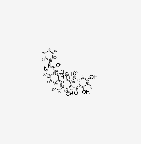 Cc1c(O)cc2c(c1O)C(=O)c1c(O)c3c(c(O)c1C2=O)-c1c(cc2cnn(-c4ccccc4)c(=O)c2c1O)CC3